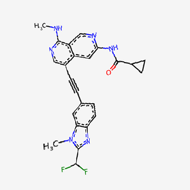 CNc1ncc(C#Cc2ccc3nc(C(F)F)n(C)c3c2)c2cc(NC(=O)C3CC3)ncc12